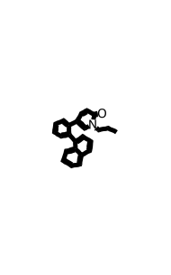 CC[CH]n1cc(-c2ccccc2-c2cccc3ccccc23)ccc1=O